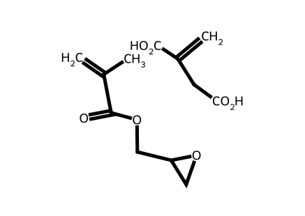 C=C(C)C(=O)OCC1CO1.C=C(CC(=O)O)C(=O)O